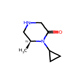 C[C@H]1CNCC(=O)N1C1CC1